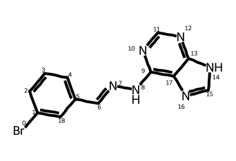 Brc1cccc(C=NNc2ncnc3[nH]cnc23)c1